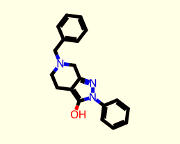 Oc1c2c(nn1-c1ccccc1)CN(Cc1ccccc1)CC2